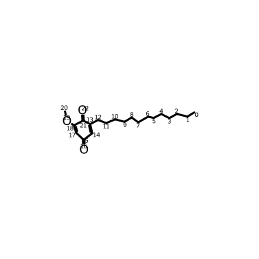 CCCCCCCCCCCCCC1=CC(=O)C=C(OC)C1=O